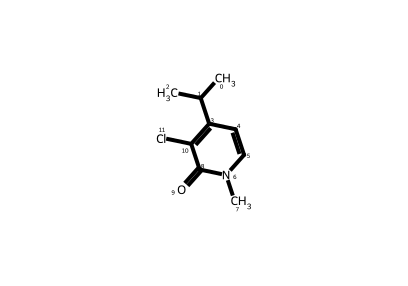 CC(C)c1ccn(C)c(=O)c1Cl